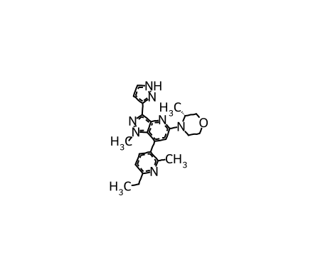 CCc1ccc(-c2cc(N3CCOC[C@H]3C)nc3c(-c4cc[nH]n4)nn(C)c23)c(C)n1